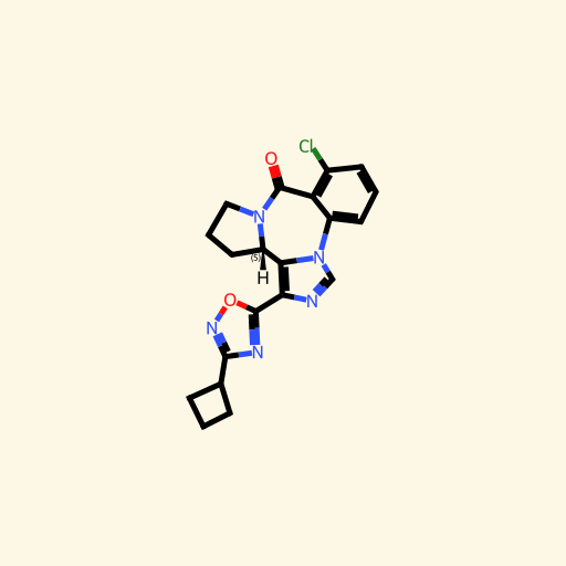 O=C1c2c(Cl)cccc2-n2cnc(-c3nc(C4CCC4)no3)c2[C@@H]2CCCN12